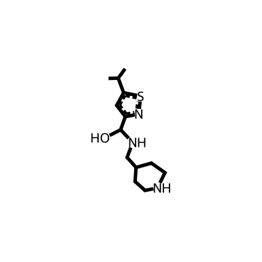 CC(C)c1cc(C(O)NCC2CCNCC2)ns1